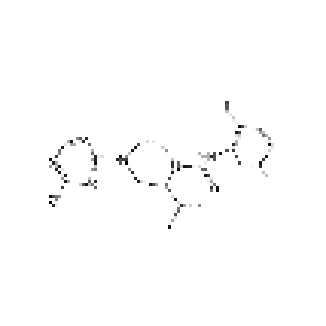 CC(C)C1CN(c2ccnc(Cl)n2)CCN1C(=O)Nc1cc(F)ccc1F